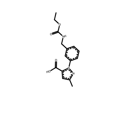 CCOC(=O)NCc1cccc(-n2nc(C)cc2C(=O)O)c1